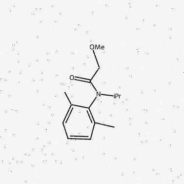 COCC(=O)N(c1c(C)cccc1C)C(C)C